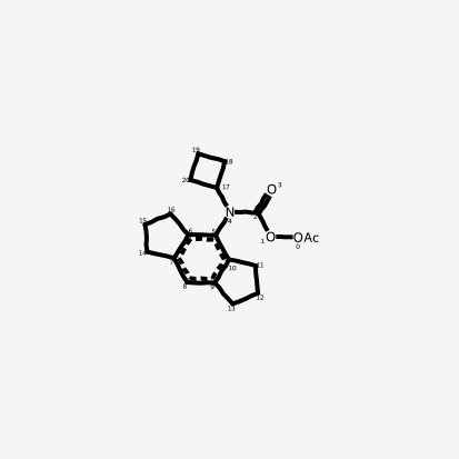 CC(=O)OOC(=O)N(c1c2c(cc3c1CCC3)CCC2)C1CCC1